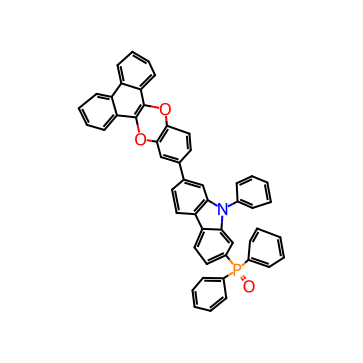 O=P(c1ccccc1)(c1ccccc1)c1ccc2c3ccc(-c4ccc5c(c4)Oc4c(c6ccccc6c6ccccc46)O5)cc3n(-c3ccccc3)c2c1